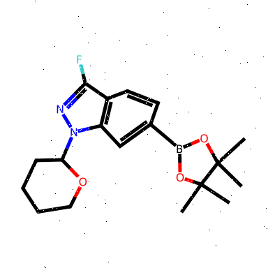 CC1(C)OB(c2ccc3c(F)nn(C4CCCCO4)c3c2)OC1(C)C